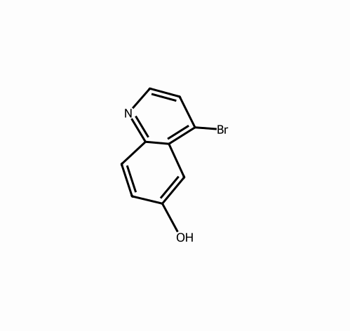 Oc1ccc2nccc(Br)c2c1